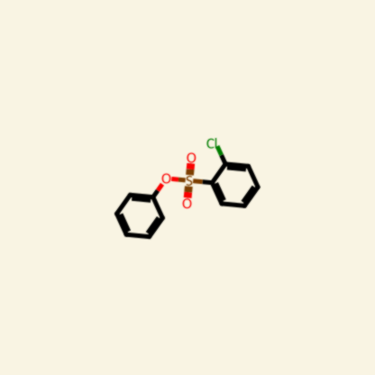 O=S(=O)(Oc1ccccc1)c1ccccc1Cl